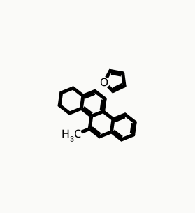 Cc1cc2ccccc2c2ccc3c(c12)CCCC3.c1ccoc1